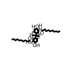 CCCCCCCCCC(=O)Nc1cc(C(c2ccc(O)c(NC(=O)CCCCCCCCC)c2)(C(F)(F)F)C(F)(F)F)ccc1O